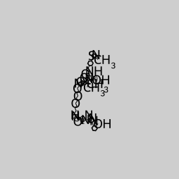 Cc1ncsc1-c1ccc(CNC(=O)C2C[C@@H](O)CN2C(=O)[C@H](c2cc(OCCOCCOCCCCN3CCOC4(CCN(c5cc(-c6ccccc6O)nnc5N)CC4)C3)no2)C(C)C)cc1